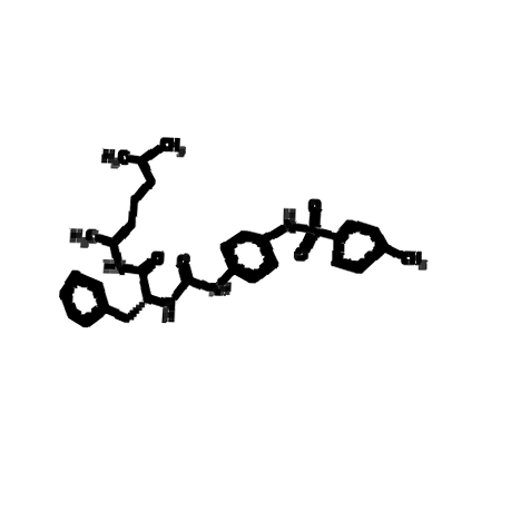 Cc1ccc(S(=O)(=O)Nc2ccc(NC(=O)N[C@H](Cc3ccccc3)C(=O)NC(C)CCCC(C)C)cc2)cc1